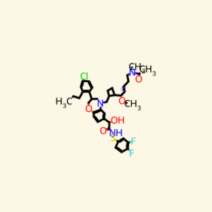 CCCc1cc(Cl)ccc1C1COc2ccc(C(O)C(=O)NSc3ccc(F)c(F)c3)cc2N(CC2CCC2C(/C=C/CCN(C)C(C)=O)OC)C1